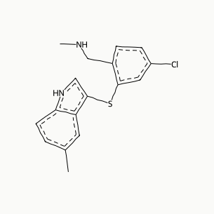 CNCc1ccc(Cl)cc1Sc1c[nH]c2ccc(C)cc12